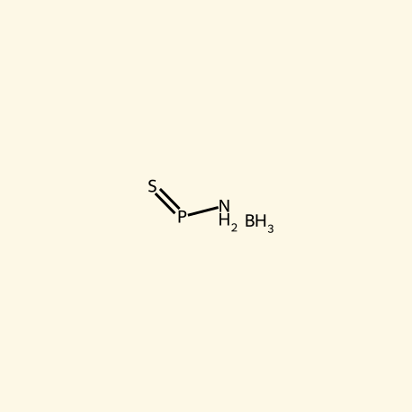 B.NP=S